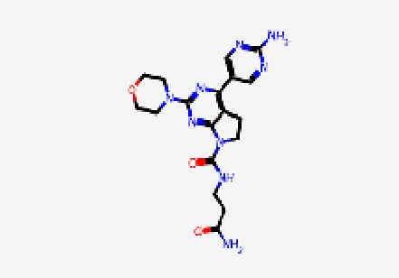 NC(=O)CCNC(=O)N1CCc2c(-c3cnc(N)nc3)nc(N3CCOCC3)nc21